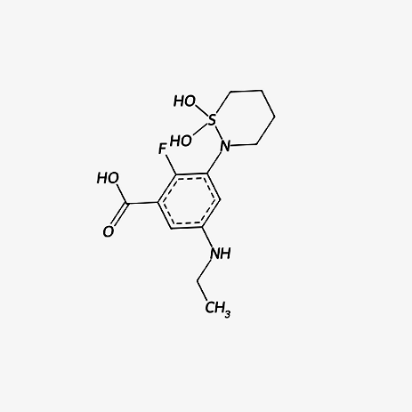 CCNc1cc(C(=O)O)c(F)c(N2CCCCS2(O)O)c1